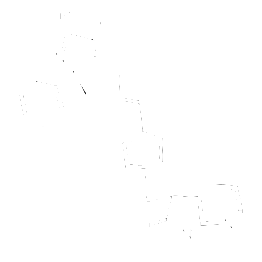 CC(C)C1=N[C@@](C)(c2ccccc2)N(C/C=C/c2ccc3c(c2)C[C@@]2(C3)C(=O)Nc3ncccc32)C1=O